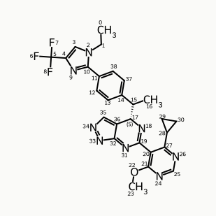 CCn1cc(C(F)(F)F)nc1-c1ccc(C(C)[C@@H]2N=C(c3c(OC)ncnc3C3CC3)N=C3N=NC=C32)cc1